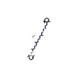 CC1=C[C@H](O)CC(C)(C)[C@H]1/C=C/C(C)=C/C=C/C(C)=C/C=C/C=C(C)/C=C/C=C(C)/C=C/C1=C(C)C[C@@H](O)CC1(C)C.O=[PH](O)O